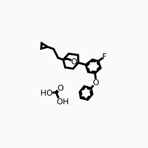 Fc1cc(Oc2ccccc2)cc(C23CCC(CCC4CC4)(CC2)CO3)c1.O=C(O)O